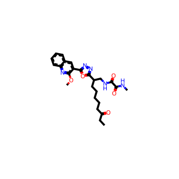 CCC(=O)CCCCCC(CNC(=O)C(=O)NC)c1nnc(-c2cc3ccccc3nc2OC)o1